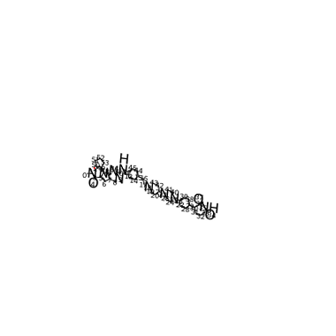 CN(C)C(=O)c1cc2cnc(Nc3ccc(CCN4CCC(N5CCN(c6ccc(C7CCC(=O)NC7=O)cc6)CC5)CC4)cc3)nc2n1C1CCCC1